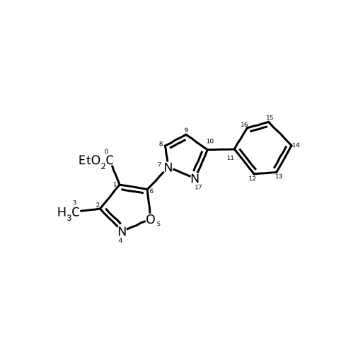 CCOC(=O)c1c(C)noc1-n1ccc(-c2ccccc2)n1